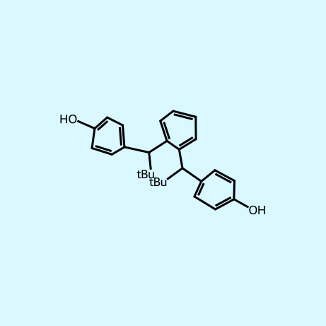 CC(C)(C)C(c1ccc(O)cc1)c1ccccc1C(c1ccc(O)cc1)C(C)(C)C